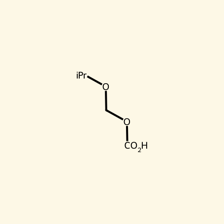 CC(C)OCOC(=O)O